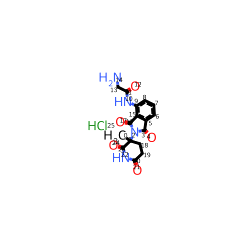 CC1(N2C(=O)c3cccc(NC(=O)CN)c3C2=O)CCC(=O)NC1=O.Cl